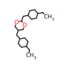 CCC1CCC(CC2COC(CC3CCC(CC)CC3)OC2)CC1